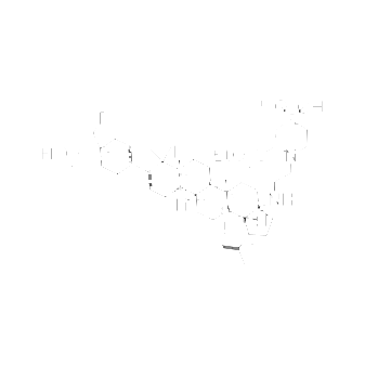 C=C(C)[C@@H]1CC[C@]2(NCCN3CCS(O)(O)CC3C(=O)OCC)CC[C@]3(C)[C@H](CC[C@@H]4[C@@]5(C)CC=C(C6=CC[C@@](CF)(C(=O)O)CC6)C(C)(C)[C@@H]5CC[C@]43C)[C@@H]12